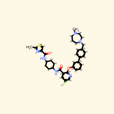 Cc1nc(C(=O)NC2CCC(NC(=O)c3cc(F)cnc3Oc3cccc(-c4ccc(CN5CCCN(C)CC5)cc4)c3)CC2)cs1